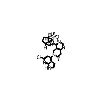 C[C@@H]1Cc2ncnc(N3C[C@H]4CC[C@@H](C3)[C@H]4NS(C)(=O)=O)c2CN1c1cc(Cl)nc2[nH]ccc12